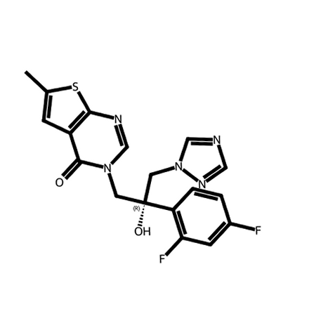 Cc1cc2c(=O)n(C[C@@](O)(Cn3cncn3)c3ccc(F)cc3F)cnc2s1